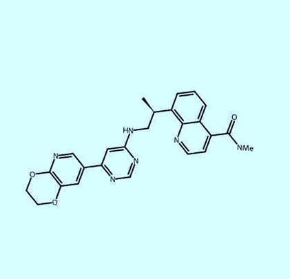 CNC(=O)c1ccnc2c([C@H](C)CNc3cc(-c4cnc5c(c4)OCCO5)ncn3)cccc12